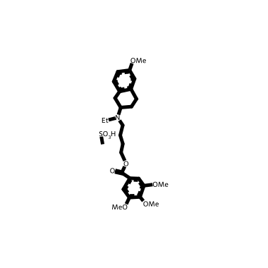 CCN(CCCCOC(=O)c1cc(OC)c(OC)c(OC)c1)C1CCc2cc(OC)ccc2C1.CS(=O)(=O)O